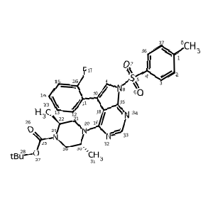 Cc1ccc(S(=O)(=O)n2cc(-c3ccccc3F)c3c(N4C[C@H](C)N(C(=O)OC(C)(C)C)C[C@H]4C)ncnc32)cc1